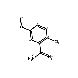 COc1ccc(Cl)c(C(=N)N)c1